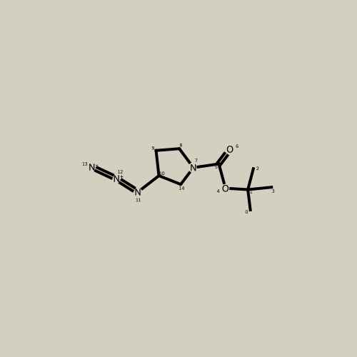 CC(C)(C)OC(=O)N1CCC(N=[N+]=[N-])C1